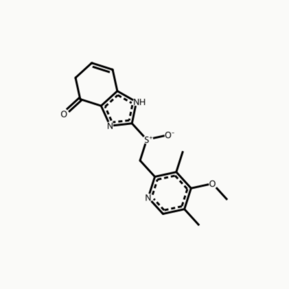 COc1c(C)cnc(C[S+]([O-])c2nc3c([nH]2)C=CCC3=O)c1C